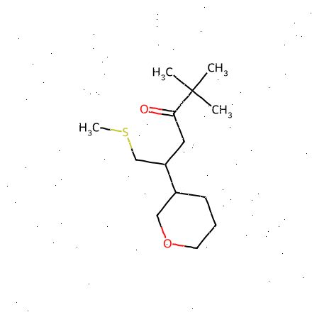 CSCC(CC(=O)C(C)(C)C)C1CCCOC1